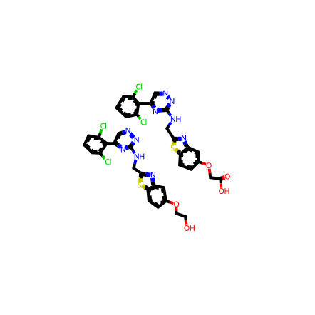 O=C(O)COc1ccc2sc(CNc3nncc(-c4c(Cl)cccc4Cl)n3)nc2c1.OCCOc1ccc2sc(CNc3nncc(-c4c(Cl)cccc4Cl)n3)nc2c1